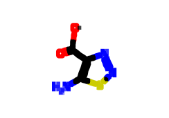 Nc1snnc1C([O])=O